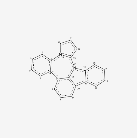 c1ccc2c(c1)c1cccc3c4ccccc4n(c13)c1cccn21